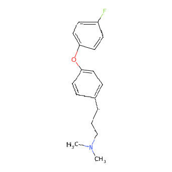 CN(C)CC[CH]c1ccc(Oc2ccc(F)cc2)cc1